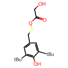 CC(C)(C)c1cc(CSOC(=O)CO)cc(C(C)(C)C)c1O